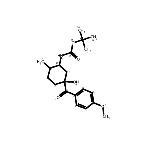 COc1ccc(C(=O)C2(O)CCC(C)C(NC(=O)OC(C)(C)C)C2)cc1